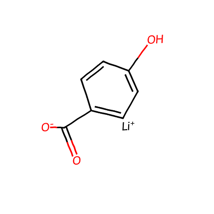 O=C([O-])c1ccc(O)cc1.[Li+]